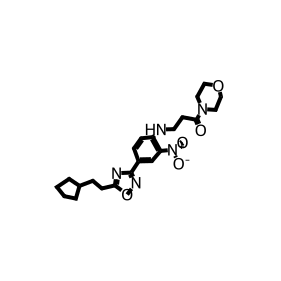 O=C(CCNc1ccc(-c2noc(CCC3CCCC3)n2)cc1[N+](=O)[O-])N1CCOCC1